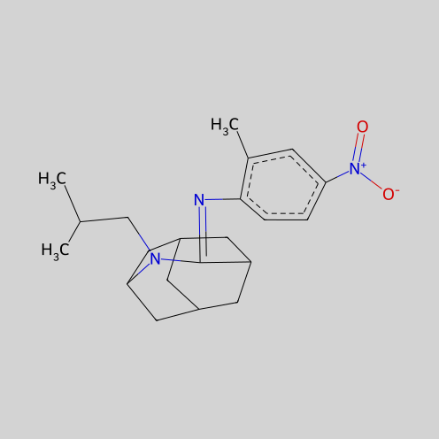 Cc1cc([N+](=O)[O-])ccc1N=C1C2CC3CC(C2)CC(C3)N1CC(C)C